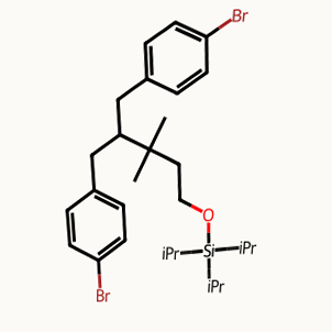 CC(C)[Si](OCCC(C)(C)C(Cc1ccc(Br)cc1)Cc1ccc(Br)cc1)(C(C)C)C(C)C